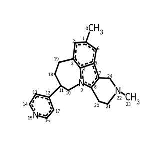 Cc1cc2c3c(c1)c1c(n3CC(c3ccncc3)CC2)CCN(C)C1